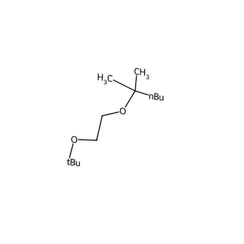 CCCCC(C)(C)OCCOC(C)(C)C